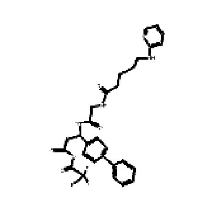 O=C(CCCCNc1ccccn1)NCC(=O)NC(CC(=O)OC(=O)C(F)(F)F)c1ccc(-c2ccccc2)cc1